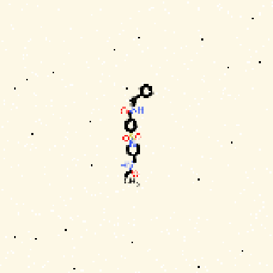 C=CC(=O)NCC1CCN(S(=O)(=O)c2ccc(C(=O)N[C@@H]3CC3c3ccccc3)cc2)CC1